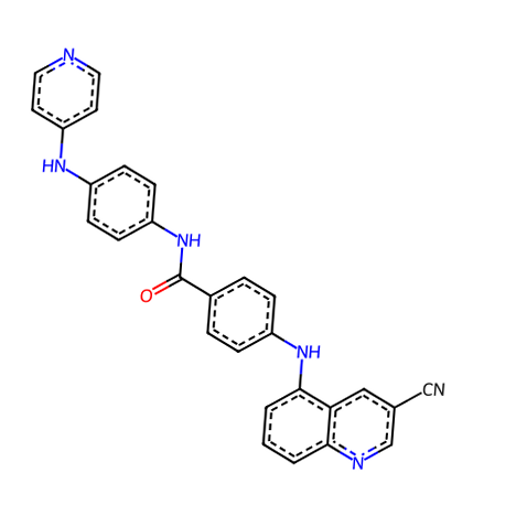 N#Cc1cnc2cccc(Nc3ccc(C(=O)Nc4ccc(Nc5ccncc5)cc4)cc3)c2c1